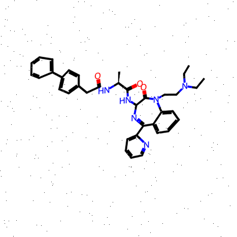 CCN(CC)CCN1C(=O)C(NC(=O)[C@H](C)NC(=O)Cc2ccc(-c3ccccc3)cc2)N=C(c2ccccn2)c2ccccc21